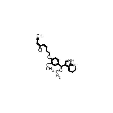 C#C/C=C(Cl)\C=C/CCOc1ccc(C(OC)c2c[nH]c3c2=CCCN=3)cc1OC